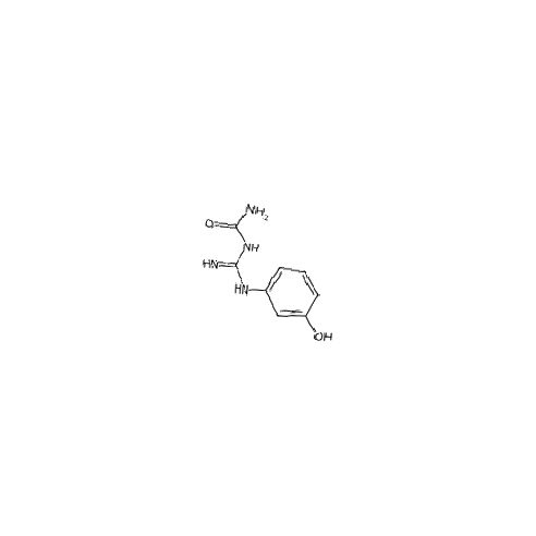 N=C(NC(N)=O)Nc1cccc(O)c1